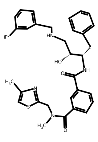 Cc1csc(CN(C)C(=O)c2cccc(C(=O)N[C@@H](Cc3ccccc3)[C@H](O)CNCc3cccc(C(C)C)c3)c2)n1